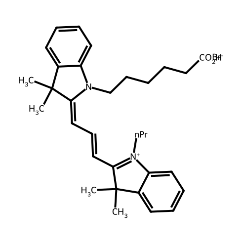 CCC[N+]1=C(C=CC=C2N(CCCCCC(=O)O)c3ccccc3C2(C)C)C(C)(C)c2ccccc21.[Br-]